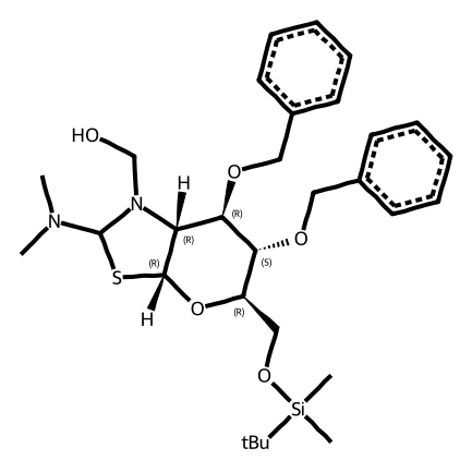 CN(C)C1S[C@H]2O[C@H](CO[Si](C)(C)C(C)(C)C)[C@@H](OCc3ccccc3)[C@H](OCc3ccccc3)[C@H]2N1CO